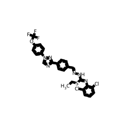 CCS/C(=N\c1c(Cl)cccc1Cl)N/N=C/c1ccc(-c2ncn(-c3ccc(OC(F)(F)F)cc3)n2)cc1